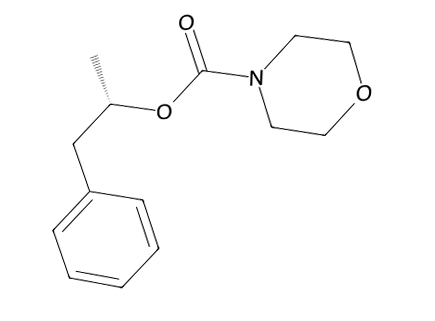 C[C@@H](Cc1ccccc1)OC(=O)N1CCOCC1